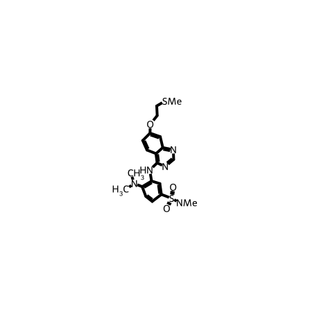 CNS(=O)(=O)c1ccc(N(C)C)c(Nc2ncnc3cc(OCCSC)ccc23)c1